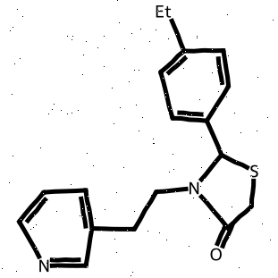 CCc1ccc(C2SCC(=O)N2CCc2cccnc2)cc1